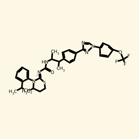 CC(C)c1ccccc1N1/C(=N/C(=O)NC(C)C(C)c2ccc(-c3ncn(-c4ccc(OC(F)(F)F)cc4)n3)cc2)SCCC1C